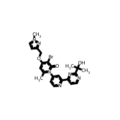 Cc1cc(OCc2ccn(C)n2)c(Br)c(=O)n1-c1ccnc(-c2ccnc(C(C)(C)O)n2)c1